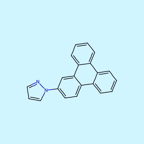 c1ccc2c(c1)c1ccccc1c1cc(-n3cccn3)ccc21